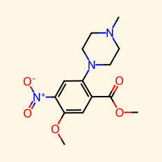 COC(=O)c1cc(OC)c([N+](=O)[O-])cc1N1CCN(C)CC1